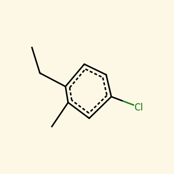 CCc1ccc(Cl)cc1C